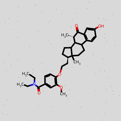 CCN(CC)C(=O)c1ccc(OCC[C@H]2CCC3C4C(CCC32C)c2ccc(O)cc2C(=O)[C@H]4C)c(OC)c1